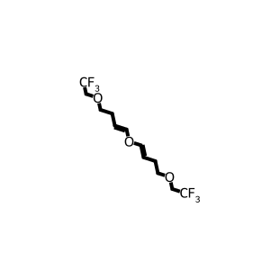 FC(F)(F)COCCC=COC=CCCOCC(F)(F)F